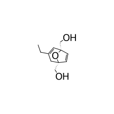 CCC1=C[C@@]2(CO)C=C[C@@](CO)(C1)O2